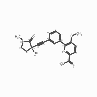 COc1ccc(C(N)=O)nc1-c1cccc(C#C[C@]2(O)CCN(C)C2=O)c1